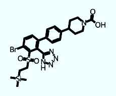 C[Si](C)(C)CCS(=O)(=O)c1c(Br)ccc(-c2ccc(C3CCN(C(=O)O)CC3)cc2)c1-c1nnn[nH]1